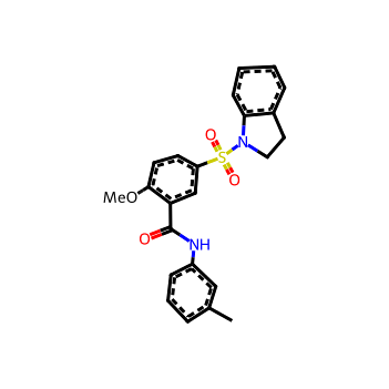 COc1ccc(S(=O)(=O)N2CCc3ccccc32)cc1C(=O)Nc1cccc(C)c1